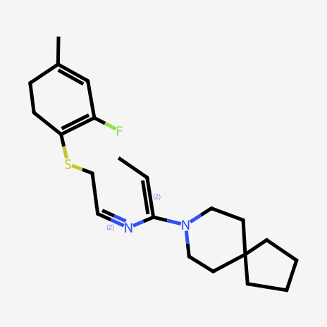 C/C=C(\N=C/CSC1=C(F)C=C(C)CC1)N1CCC2(CCCC2)CC1